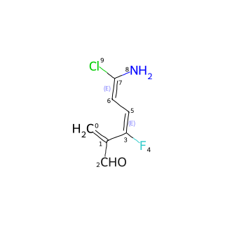 C=C(C=O)/C(F)=C\C=C(/N)Cl